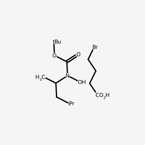 CC(C)CC(C)N(O)C(=O)OC(C)(C)C.O=C(O)CCCBr